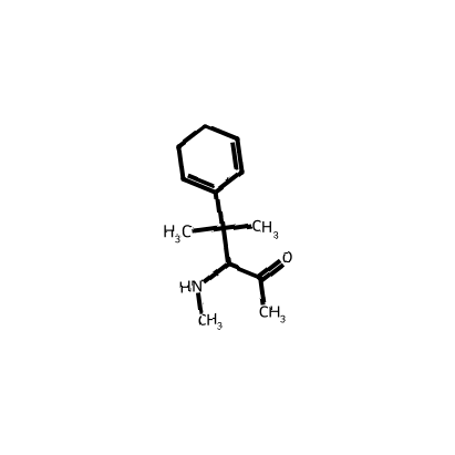 CNC(C(C)=O)C(C)(C)C1=CCCC=C1